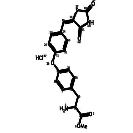 COC(=O)C(N)Cc1ccc(Oc2ccc(C=C3SC(=O)NC3=O)cc2)cc1.Cl